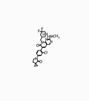 CNc1ncc2cc(-c3ccc(N4CCC5(CC5)C4=O)cc3Cl)c(=O)n(CC3CNCC(F)(F)C3)c2n1